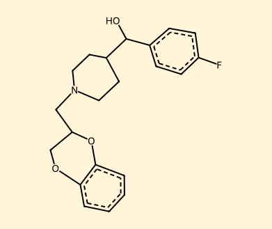 OC(c1ccc(F)cc1)C1CCN(CC2COc3ccccc3O2)CC1